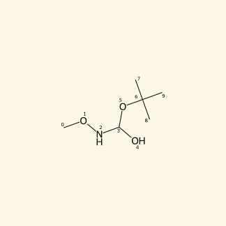 CONC(O)OC(C)(C)C